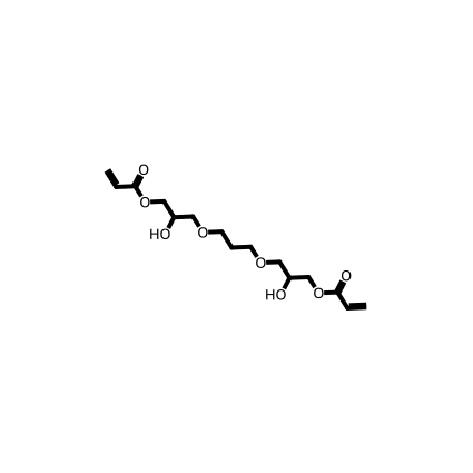 C=CC(=O)OCC(O)COCCCOCC(O)COC(=O)C=C